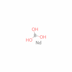 OB(O)O.[Nd]